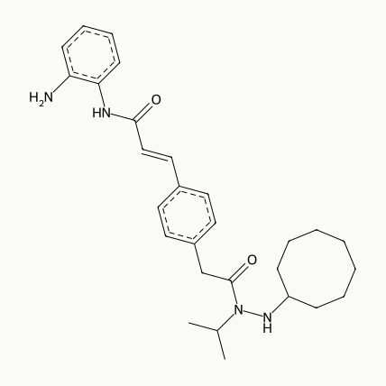 CC(C)N(NC1CCCCCCC1)C(=O)Cc1ccc(/C=C/C(=O)Nc2ccccc2N)cc1